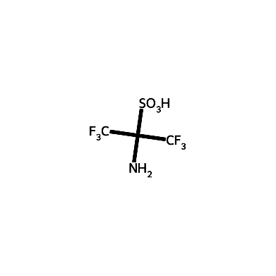 NC(C(F)(F)F)(C(F)(F)F)S(=O)(=O)O